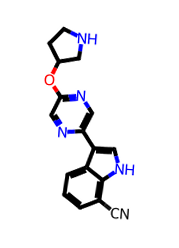 N#Cc1cccc2c(-c3cnc(OC4CCNC4)cn3)c[nH]c12